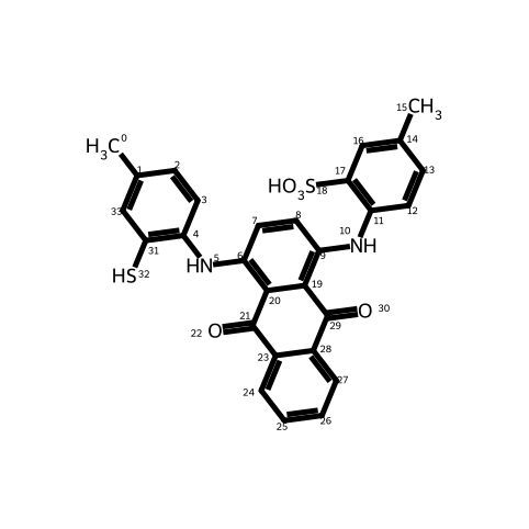 Cc1ccc(Nc2ccc(Nc3ccc(C)cc3S(=O)(=O)O)c3c2C(=O)c2ccccc2C3=O)c(S)c1